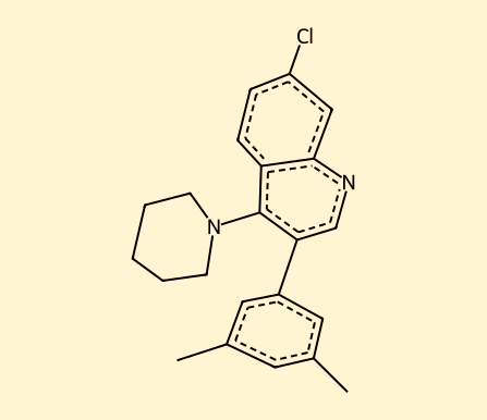 Cc1cc(C)cc(-c2cnc3cc(Cl)ccc3c2N2CCCCC2)c1